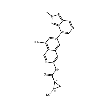 Cn1cc2c(-c3cc(N)c4cnc(NC(=O)[C@H]5C[C@@H]5C#N)cc4c3)cncc2n1